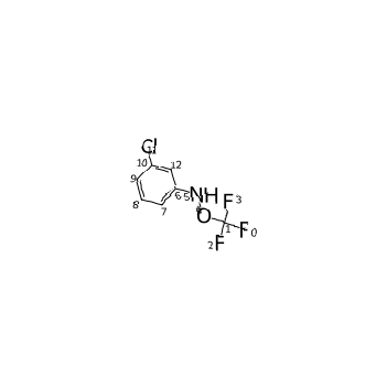 FC(F)(F)ONc1cccc(Cl)c1